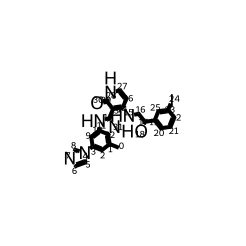 Cc1cc(-n2ccnc2)cc2[nH]c(-c3c(NCC(O)c4cccc(I)c4)cc[nH]c3=O)nc12